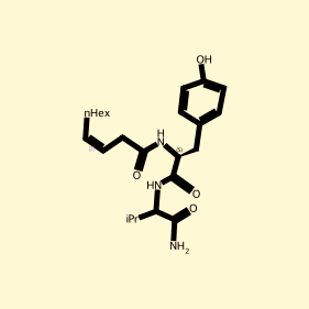 CCCCCC/C=C\CC(=O)N[C@@H](Cc1ccc(O)cc1)C(=O)NC(C(N)=O)C(C)C